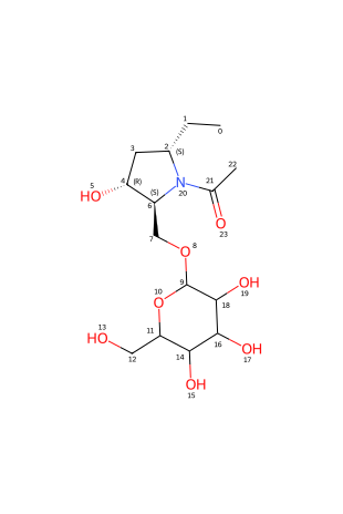 CC[C@H]1C[C@@H](O)[C@H](COC2OC(CO)C(O)C(O)C2O)N1C(C)=O